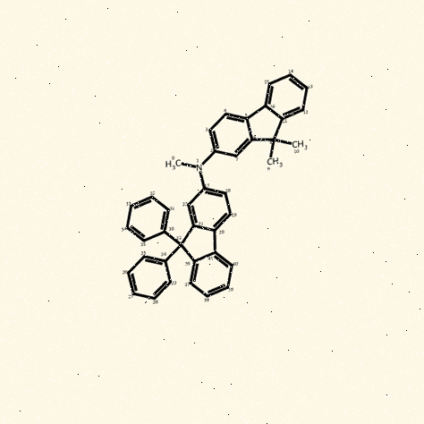 CN(c1ccc2c(c1)C(C)(C)c1ccccc1-2)c1ccc2c(c1)C(c1ccccc1)(c1ccccc1)c1ccccc1-2